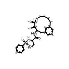 CC(C)CC(NS(=O)(=O)c1ccccc1)C(=O)NC1Cc2cncc(c2)CCCCNC(=O)C1=O